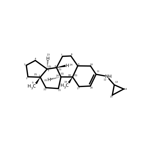 C[C@@]12CCC[C@H]1[C@@H]1CCC3CC(NC4CC4)=CC[C@]3(C)[C@H]1CC2